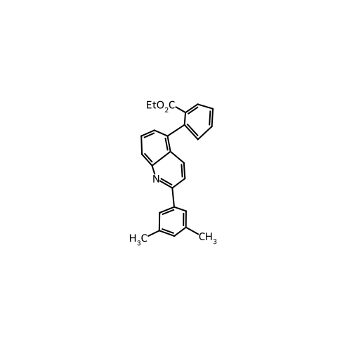 CCOC(=O)c1ccccc1-c1cccc2nc(-c3cc(C)cc(C)c3)ccc12